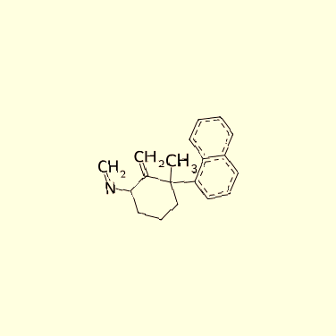 C=NC1CCCC(C)(c2cccc3ccccc23)C1=C